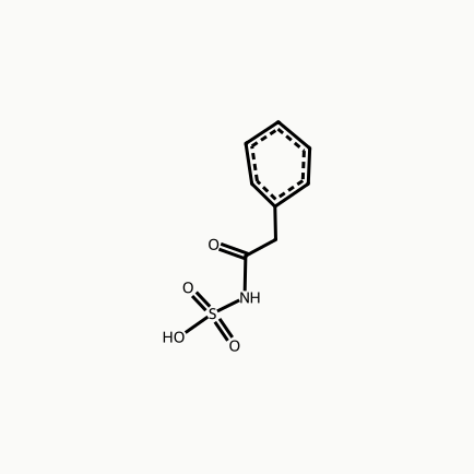 O=C(Cc1ccccc1)NS(=O)(=O)O